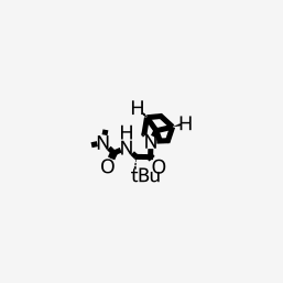 CN(C)C(=O)N[C@H](C(=O)N1C[C@H]2C[C@@H](C1)C2(C)C)C(C)(C)C